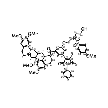 CCC1CN2CCc3cc(OC)c(OC)cc3C2CC1CC1c2cc(OC)c(OC)cc2CCC1C(=O)C1=C[C@H](c2c(C)n(C)n(-c3ccccc3)c2=O)CC(OCCN(CCO)S(C)(C)c2ccc(OC)cc2)O1